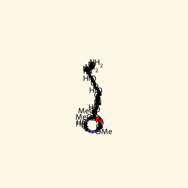 CO[C@H]1CC2CCCC(O2)C(=O)C(=O)N2CCCC[C@H]2C(=O)O[C@H](CC[C@@H]2CC[C@@H](OC(=O)NCc3cnc(N4CCN(C(=O)CN(C)CC(=O)NCCOCCOCCC(=O)NCCCCn5nc(-c6ccc7oc(N)nc7c6)c6c(N)ncnc65)CC4)nc3)[C@H](OC)C2)C[C@@H](OC)[C@H](C)/C=C(\C)[C@@H](O)[C@@H](O)C(=O)[C@H](C)C[C@H](C)/C=C/C=C/C=C/1C